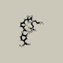 C=CCN(CCS(=O)(=O)O)C(=O)C(C)(C)Cc1ccc(C(=O)Oc2ccc(C(=N)N)cc2F)s1